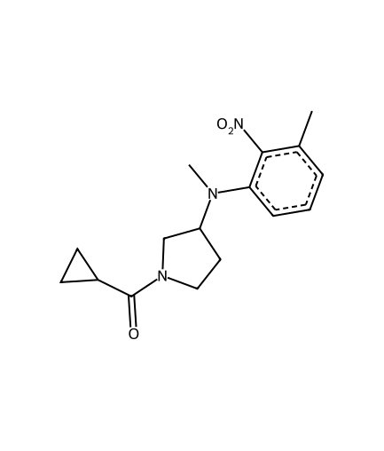 Cc1cccc(N(C)C2CCN(C(=O)C3CC3)C2)c1[N+](=O)[O-]